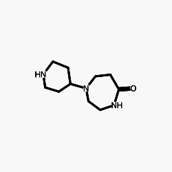 O=C1CCN(C2CCNCC2)CCN1